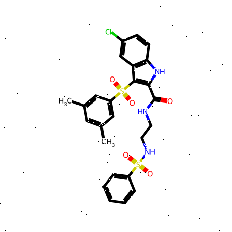 Cc1cc(C)cc(S(=O)(=O)c2c(C(=O)NCCNS(=O)(=O)c3ccccc3)[nH]c3ccc(Cl)cc23)c1